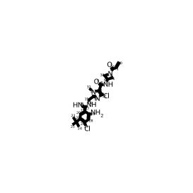 C=CC(=O)N1CC(NC(=O)c2c(Cl)nc(CNC(=N)c3cc(C(C)(C)C)c(Cl)cc3N)n2C)C1